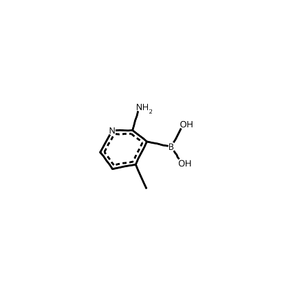 Cc1ccnc(N)c1B(O)O